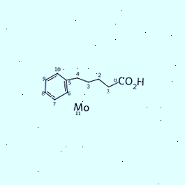 O=C(O)CCCCc1ccccc1.[Mo]